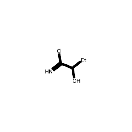 CCC(O)C(=N)Cl